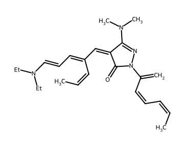 C=C(/C=C\C=C/C)N1N=C(N(C)C)/C(=C/C(/C=C\C)=C/C=C/N(CC)CC)C1=O